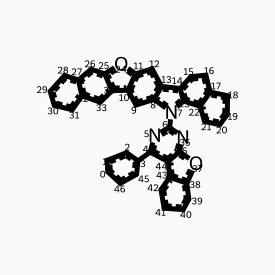 c1ccc(-c2nc(-n3c4cc5c(cc4c4ccc6ccccc6c43)oc3cc4ccccc4cc35)nc3oc4ccccc4c23)cc1